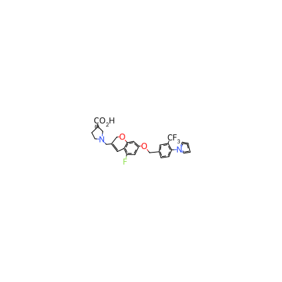 O=C(O)[C@@H]1CCN(CC2=Cc3c(F)cc(OCc4ccc(-n5cccc5)c(C(F)(F)F)c4)cc3OC2)C1